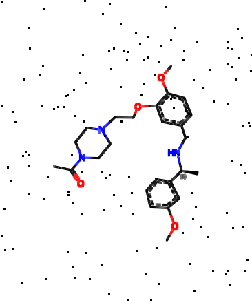 COc1cccc([C@H](C)NCc2ccc(OC)c(OCCN3CCN(C(C)=O)CC3)c2)c1